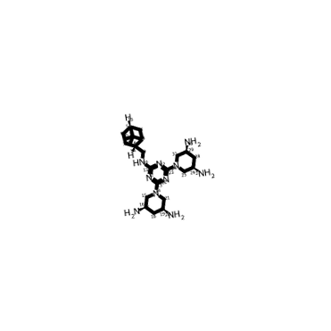 CC1(C)C2C[C@H]1CC[C@H]2CNc1nc(N2C[C@H](N)C[C@H](N)C2)nc(N2C[C@H](N)C[C@H](N)C2)n1